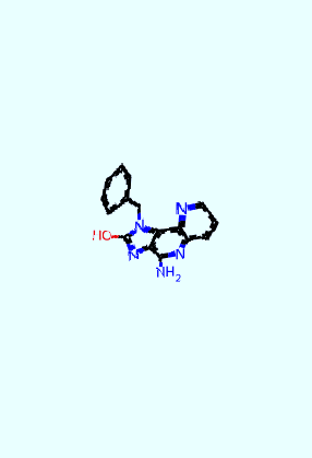 Nc1nc2cccnc2c2c1nc(O)n2Cc1ccccc1